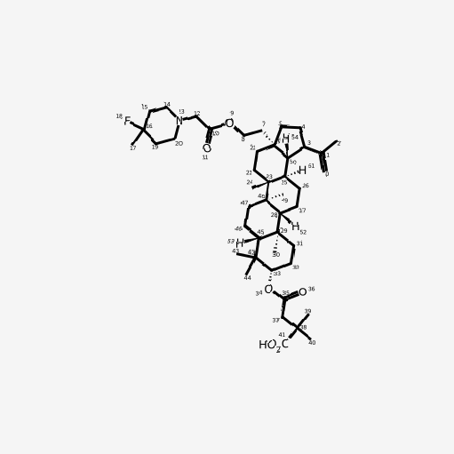 C=C(C)C1CC[C@]2(CCOC(=O)CN3CCC(C)(F)CC3)CC[C@]3(C)[C@H](CC[C@@H]4[C@@]5(C)CC[C@H](OC(=O)CC(C)(C)C(=O)O)C(C)(C)[C@@H]5CC[C@]43C)[C@@H]12